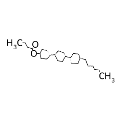 CCCCCC[C@H]1CC[C@H]([C@H]2CC[C@H]([C@H]3CC[C@H](OC(=O)CCC)CC3)CC2)CC1